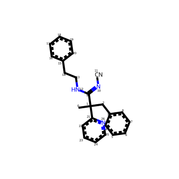 CC(Cc1ccccc1)(/C(=N/C#N)NCCc1ccccc1)c1ccccn1